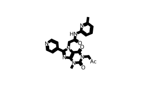 CC(=O)Cn1c(=O)c2c(nc(-c3ccncc3)n2CC(=O)Nc2cccc(C)n2)n(C)c1=O